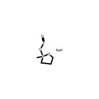 CS1(OP=O)CCCO1.[NaH]